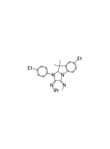 CCc1ccc(N2C(=N/C(C)C)/C(=N\C)N3c4ccc(CC)cc4C(C)(C)C23)cc1